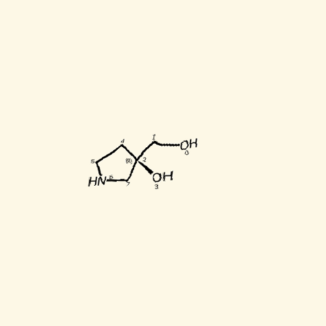 OC[C@@]1(O)CCNC1